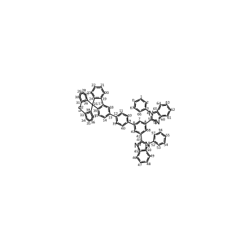 c1ccc(-n2c(-c3cc(-c4ccc(-c5ccc6c(c5)-c5ccccc5C65c6ccccc6Sc6ccccc65)cc4)cc(-c4nc5ccccc5n4-c4ccccc4)c3)nc3ccccc32)cc1